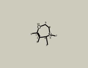 CC1=C(C)C(C)N(C)CCO1